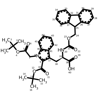 CC(C)(C)OC(=O)Cn1c(C(=O)OC(C)(C)C)c(C[C@@H](NC(=O)OCC2c3ccccc3-c3ccccc32)C(=O)O)c2ccccc21